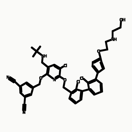 CC(C)(C)NCc1cc(Cl)c(OCc2cccc(-c3cccc(-c4ccc(OCCNCCO)cc4)c3Cl)c2Cl)nc1OCc1cc(C#N)cc(C#N)c1